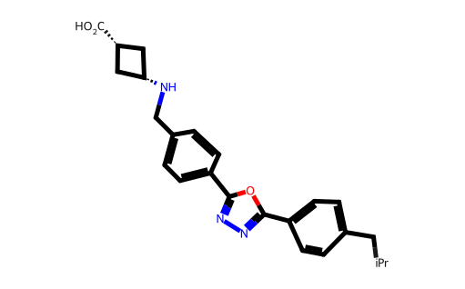 CC(C)Cc1ccc(-c2nnc(-c3ccc(CN[C@H]4C[C@@H](C(=O)O)C4)cc3)o2)cc1